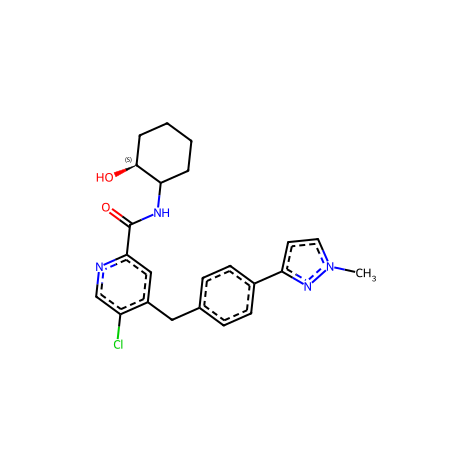 Cn1ccc(-c2ccc(Cc3cc(C(=O)NC4CCCC[C@@H]4O)ncc3Cl)cc2)n1